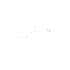 C/C=C\C1NC(C)CC1/C=C/c1ccc2c(c1)Sc1cc(-c3ccc4c(c3)CC(C(F)(F)F)N4)ccc1N2C